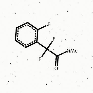 CNC(=O)C(F)(F)c1ccccc1F